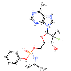 CCOC(=O)[C@@H](C)N[P@](=O)(OC[C@H]1O[C@@H](n2cnc3c(NC)ncnc32)[C@](C)(F)[C@@H]1O)Oc1ccccc1